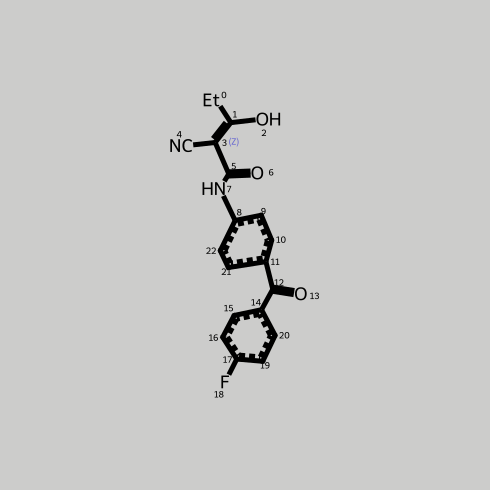 CC/C(O)=C(\C#N)C(=O)Nc1ccc(C(=O)c2ccc(F)cc2)cc1